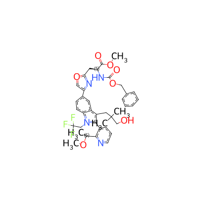 COC(=O)[C@H](Cc1nc(-c2ccc3c(c2)c(CC(C)(C)CO)c(-c2cccnc2[C@H](C)OC)n3CC(F)(F)F)co1)NC(=O)OCc1ccccc1